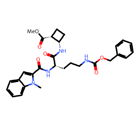 COC(=O)[C@@H]1CC[C@@H]1NC(=O)[C@H](CCCNC(=O)OCc1ccccc1)NC(=O)c1cc2ccccc2n1C